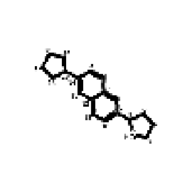 c1cc2cc(C3CCCS3)ccc2cc1C1CCCC1